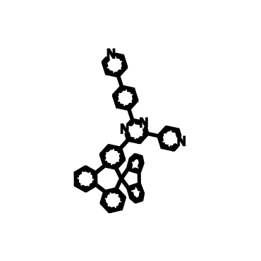 c1ccc2c(c1)-c1ccccc1C1(c3cc(-c4cc(-c5ccncc5)nc(-c5ccc(-c6ccncc6)cc5)n4)ccc3-2)c2ccccc2-c2ccccc21